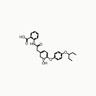 CCC(CC)Oc1ccc(OC2=CC=C(CC(=O)Nc3ccccc3C(=O)O)CN2O)cc1